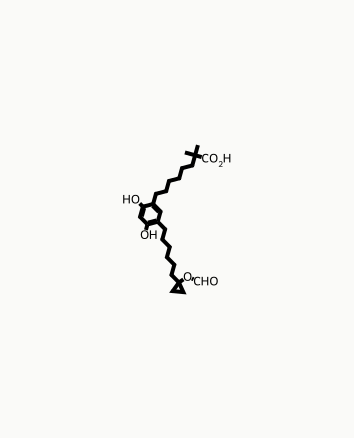 CC(C)(CCCCCCc1cc(CCCCCCC2(OC=O)CC2)c(O)cc1O)C(=O)O